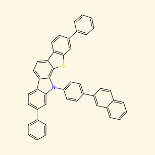 c1ccc(-c2ccc3c(c2)sc2c3ccc3c4ccc(-c5ccccc5)cc4n(-c4ccc(-c5ccc6ccccc6c5)cc4)c32)cc1